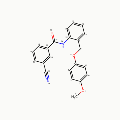 COc1ccc(OCc2ccccc2NC(=O)c2cccc(C#N)c2)cc1